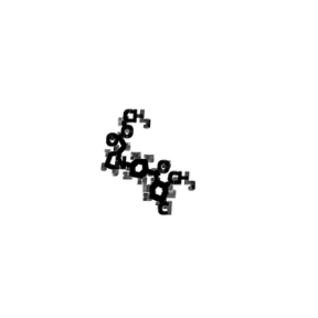 CCOC(=O)CC1CCCN1c1ccc(C(=O)c2ccc(Cl)cc2C)cc1